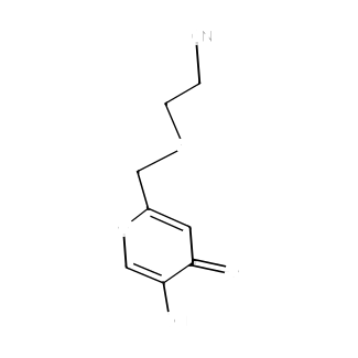 N#CCCSCc1cc(=O)c(O)co1